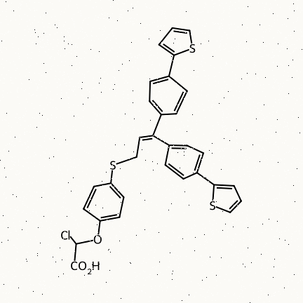 O=C(O)C(Cl)Oc1ccc(SCC=C(c2ccc(-c3cccs3)cc2)c2ccc(-c3cccs3)cc2)cc1